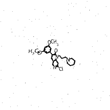 COc1cc(OC)cc(-c2cc3cnc(Cl)cc3n(CCCN3CCCCC3)c2=O)c1